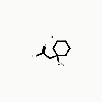 CC1(CC(=O)O)CCCCC1.[Tl]